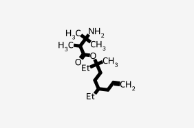 C=CCC(CC)CCC(C)(CC)OC(=O)C(C)C(C)(C)N